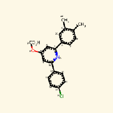 Cc1ccc(-c2cc(OC(=O)O)cc(-c3ccc(Cl)cc3)n2)cc1C